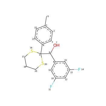 Cc1ccc(C2(C(O)c3cc(F)cc(F)c3)SCCCS2)cc1